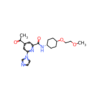 COCCO[C@H]1CC[C@H](NC(=O)c2cc(C(C)=O)cc(-n3ccnc3)n2)CC1